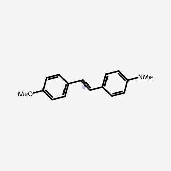 CNc1ccc(/C=C/c2ccc(OC)cc2)cc1